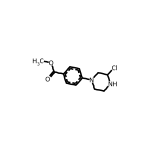 COC(=O)c1ccc(N2CCNC(Cl)C2)cc1